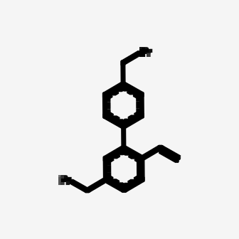 C=Cc1ccc(CC(C)C)cc1-c1ccc(CC(C)C)cc1